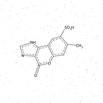 Cc1cc2oc(=O)c3nc[nH]c3c2cc1S(=O)(=O)O